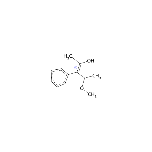 COC(C)/C(=C(/C)O)c1ccccc1